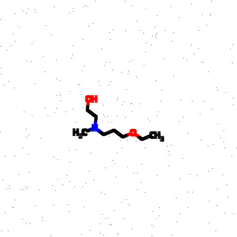 CCOCCCN(C)CCO